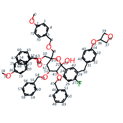 COc1ccc(COCC2(COCc3ccc(OC)cc3)OC(O)(c3ccc(F)c(Cc4ccc(OC5COC5)cc4)c3)C(OCc3ccccc3)[C@@H](OCc3ccccc3)[C@@H]2OCc2ccccc2)cc1